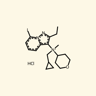 CCc1nn2c(I)cccc2c1[N+](C)(CC1CC1)C1CCOCC1.Cl